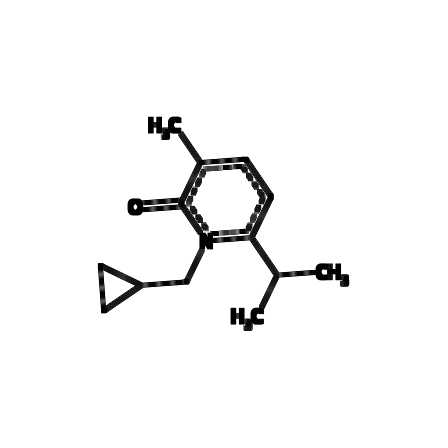 Cc1ccc(C(C)C)n(CC2CC2)c1=O